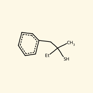 CCC(C)(S)Cc1ccccc1